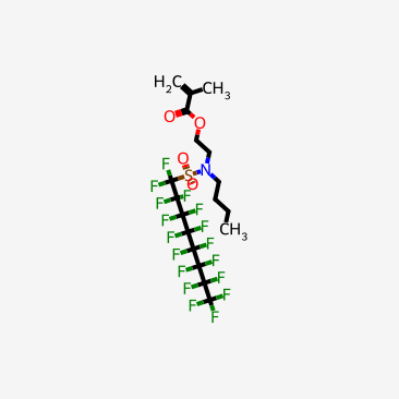 C=C(C)C(=O)OCCN(CCCC)S(=O)(=O)C(F)(F)C(F)(F)C(F)(F)C(F)(F)C(F)(F)C(F)(F)C(F)(F)C(F)(F)F